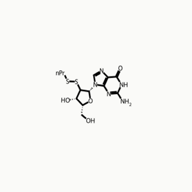 CCCSSC1[C@@H](O)[C@@H](CO)O[C@H]1n1cnc2c(=O)[nH]c(N)nc21